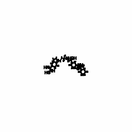 CC(C)(CCn1ccc2cc(C(=N)NO)ccc21)NCC(O)c1cccc(NS(=O)(=O)c2ccccc2)c1